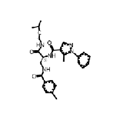 Cc1ccc(C(=O)NC[C@H](NC(=O)c2cnn(-c3ccccc3)c2C)C(=O)N[CH]CC(C)C)cc1